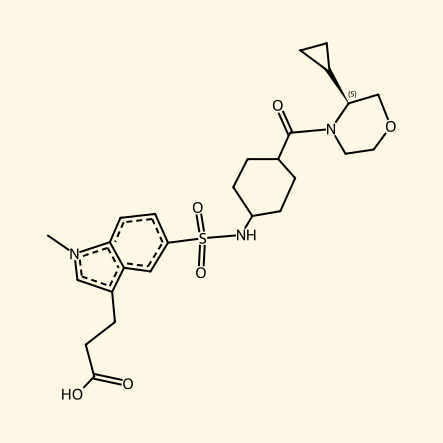 Cn1cc(CCC(=O)O)c2cc(S(=O)(=O)NC3CCC(C(=O)N4CCOC[C@@H]4C4CC4)CC3)ccc21